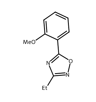 CCc1noc(-c2ccccc2OC)n1